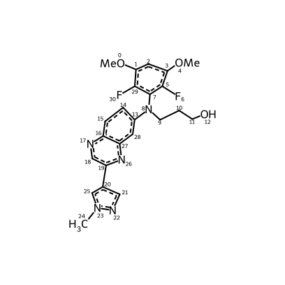 COc1cc(OC)c(F)c(N(CCCO)c2ccc3ncc(-c4cnn(C)c4)nc3c2)c1F